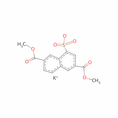 COC(=O)c1cc(S(=O)(=O)[O-])c2cc(C(=O)OC)ccc2c1.[K+]